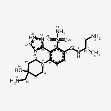 C[C@@H](CN)NSc1ccc(N2CCC(O)(CN)CC2)c(-c2nn[nH]n2)c1S(N)(=O)=O